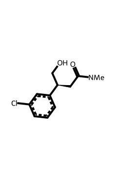 CNC(=O)C[C@H](CO)c1cccc(Cl)c1